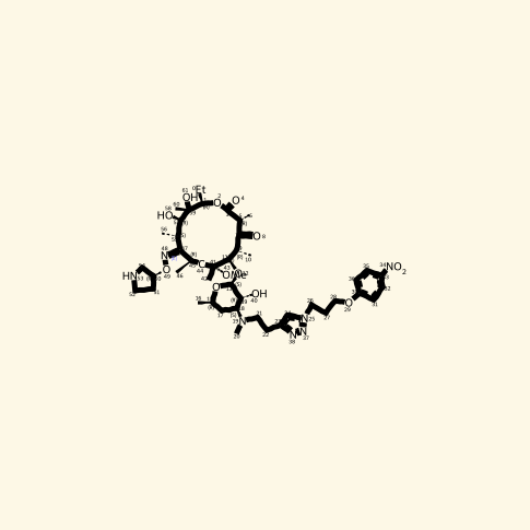 CC[C@H]1OC(=O)[C@H](C)C(=O)[C@H](C)[C@@H](O[C@@H]2O[C@H](C)C[C@H](N(C)CCc3cn(CCCOc4ccc([N+](=O)[O-])cc4)nn3)[C@H]2O)[C@](C)(OC)C[C@@H](C)/C(=N\O[C@@H]2CCNC2)[C@H](C)[C@@H](O)[C@]1(C)O